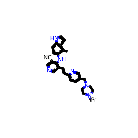 Cc1c(Nc2c(C#N)cncc2C=Cc2ccc(CN3CCN(C(C)C)CC3)cn2)ccc2[nH]ccc12